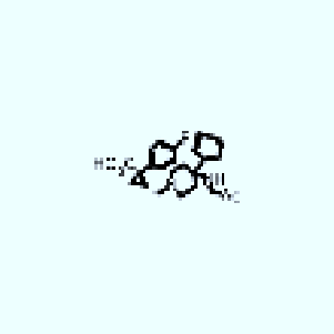 CC(=O)CNC1(c2ccccc2)CCN(C[C@@H]2C[C@@]2(C(=O)O)c2ccc(F)cc2)CC1